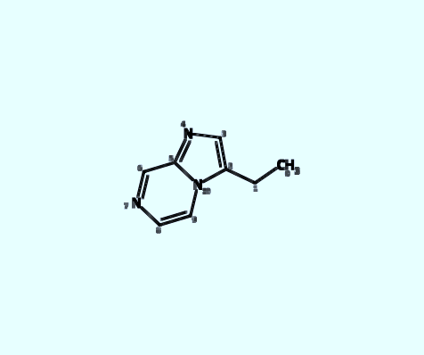 CCc1cnc2cnccn12